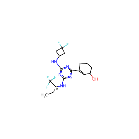 CC[C@@H](Nc1nc(NC2CC(F)(F)C2)nc(C2=CC(O)CCC2)n1)C(F)(F)F